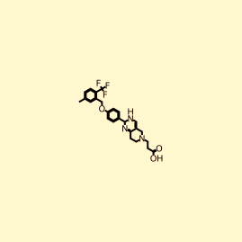 Cc1ccc(C(F)(F)F)c(COc2ccc(C3N=C4CCN(CCC(=O)O)CC4=CN3)cc2)c1